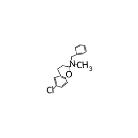 CN(Cc1ccccc1)C1CCc2cc(Cl)ccc2O1